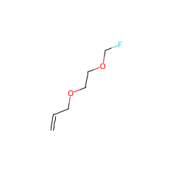 C=CCOCCOCF